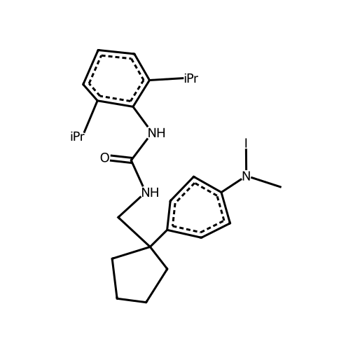 CC(C)c1cccc(C(C)C)c1NC(=O)NCC1(c2ccc(N(C)I)cc2)CCCC1